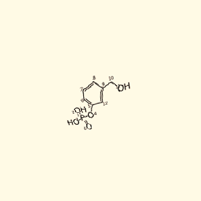 O=P(O)(O)Oc1cccc(CO)c1